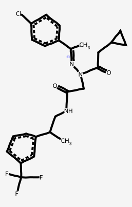 C/C(=N\N(CC(=O)NCC(C)c1cccc(C(F)(F)F)c1)C(=O)CC1CC1)c1ccc(Cl)cc1